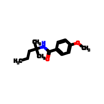 CCCC(C)(C)NC(=O)c1ccc(OC)cc1